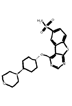 NS(=O)(=O)c1ccc2sc3ncnc(O[C@H]4CC[C@H](N5CCOCC5)CC4)c3c2c1